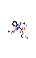 CCOC(=O)c1n(C)c2ccccc2[n+]1OC